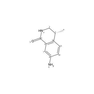 C[C@H]1CNC(=O)c2cc(N)ccc21